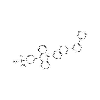 CC(C)(C)c1ccc(-c2c3ccccc3c(-c3ccc4c(c3)CCC(c3cccc(-c5cccnc5)c3)=C4)c3ccccc23)cc1